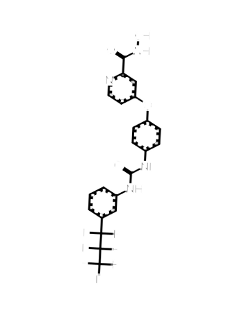 CNC(=O)c1cc(Oc2ccc(NC(=O)Nc3cccc(C(F)(F)C(F)(F)C(F)(F)F)c3)cc2)ccn1